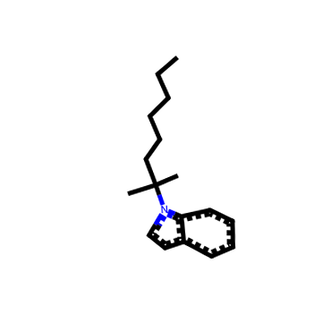 CCCCCCC(C)(C)n1ccc2ccccc21